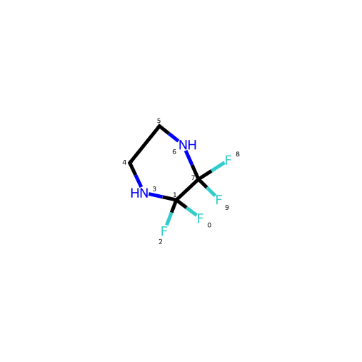 FC1(F)NCCNC1(F)F